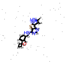 CC(=N)/C(C)=C1\C(=N)Sc2c(NCc3cccc4c3COC43CCC3)ncnc21